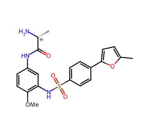 COc1ccc(NC(=O)[C@@H](C)N)cc1NS(=O)(=O)c1ccc(-c2ccc(C)o2)cc1